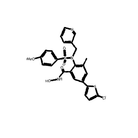 COc1ccc(S(=O)(=O)N(Cc2cccnc2)c2c(C)cc(-c3ccc(Cl)s3)cc2C(=O)NO)cc1